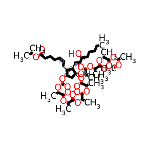 CCCCC[C@H](O)/C=C/[C@@H]1[C@@H](C/C=C\CCCC(=O)OC(C)C)[C@@H](OC(=O)OC(C)C(=O)OC(C)C(=O)OC(C)C(=O)OC(C)C(=O)OC(C)C(=O)OC(C)C(=O)OC(C)C(=O)OC(C)OC)C[C@H]1O